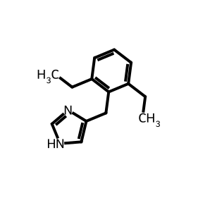 CCc1cccc(CC)c1Cc1c[nH]cn1